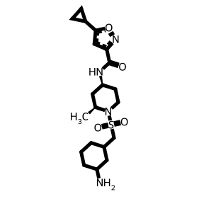 C[C@H]1C[C@@H](NC(=O)c2cc(C3CC3)on2)CCN1S(=O)(=O)CC1CCCC(N)C1